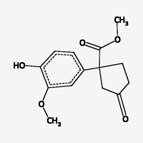 COC(=O)C1(c2ccc(O)c(OC)c2)CCC(=O)C1